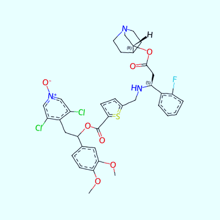 COc1ccc(C(Cc2c(Cl)c[n+]([O-])cc2Cl)OC(=O)c2ccc(CN[C@@H](CC(=O)O[C@H]3CN4CCC3CC4)c3ccccc3F)s2)cc1OC